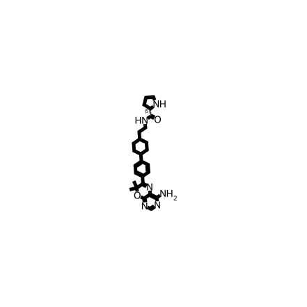 CC1(C)Oc2ncnc(N)c2N=C1c1ccc(C2CCC(CCNC(=O)[C@@H]3CCCN3)CC2)cc1